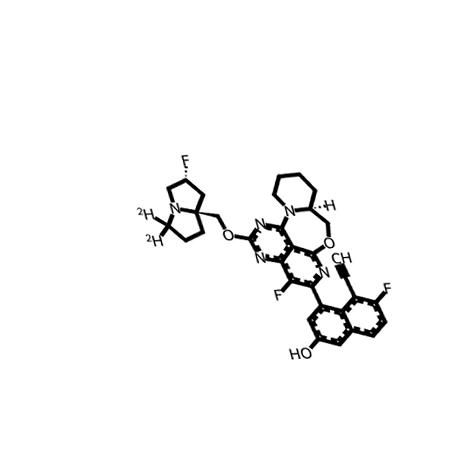 [2H]C1([2H])CC[C@@]2(COc3nc4c5c(nc(-c6cc(O)cc7ccc(F)c(C#C)c67)c(F)c5n3)OC[C@@H]3CCCCN43)C[C@@H](F)CN12